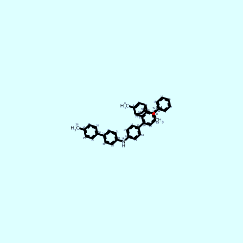 CC1=CC2c3c(-c4ccccc4)ccc(-c4ccc(Nc5ccc(-c6ccc(C)cc6)cc5)cc4)c3C1CC2C(C)C